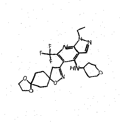 CCn1ncc2c(NC3CCOCC3)c(C3=NOC4(CCC5(CC4)OCCO5)C3)c(C(F)(F)F)nc21